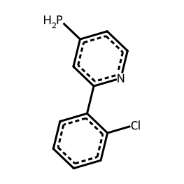 Pc1ccnc(-c2ccccc2Cl)c1